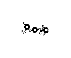 O=C(Nc1ccc(Oc2ccc(F)cc2C(F)(F)F)cc1)c1c(F)cncc1F